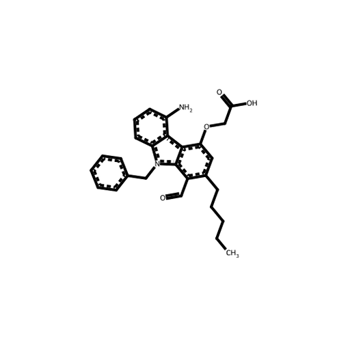 CCCCCc1cc(OCC(=O)O)c2c3c(N)cccc3n(Cc3ccccc3)c2c1C=O